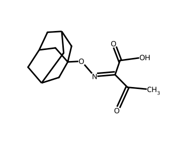 CC(=O)C(=NOC12CC3CC(CC(C3)C1)C2)C(=O)O